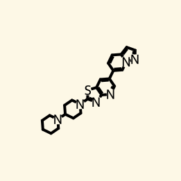 c1cc2ccc(-c3cnc4nc(N5CCC(N6CCCCC6)CC5)sc4c3)cn2n1